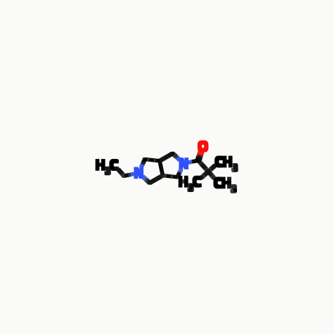 CCN1CC2CN(C(=O)C(C)(C)C)CC2C1